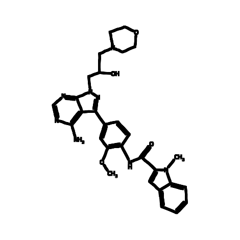 COc1cc(-c2nn(CC(O)CN3CCOCC3)c3ncnc(N)c23)ccc1NC(=O)c1cc2ccccc2n1C